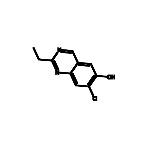 CCc1ncc2cc(O)c(Cl)cc2n1